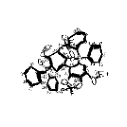 CCOc1cc(P(=O)(c2ccccc2)c2ccccc2)c(-c2cc(P(=O)(c3ccccc3)c3ccccc3)c(OCC)c3c2OC(F)(F)O3)c2c1OC(F)(F)O2